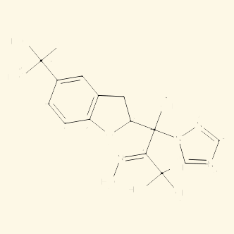 CC(C)(C)C(=NO)C(C)(C1Cc2cc(C(C)(C)C)ccc2O1)n1cncn1